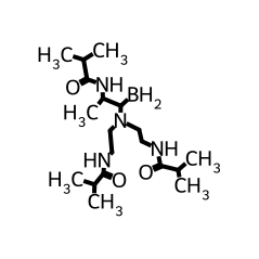 BC(C(C)NC(=O)C(C)C)N(CCNC(=O)C(C)C)CCNC(=O)C(C)C